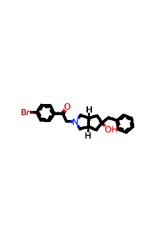 O=C(CN1C[C@@H]2CC(O)(Cc3ccccc3)C[C@@H]2C1)c1ccc(Br)cc1